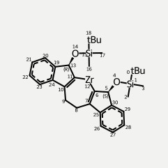 CC(C)(C)[Si](C)(C)O[C@@H]1[C]2=C(CCC3=[C]([Zr]2)[C@H](O[Si](C)(C)C(C)(C)C)c2ccccc23)c2ccccc21